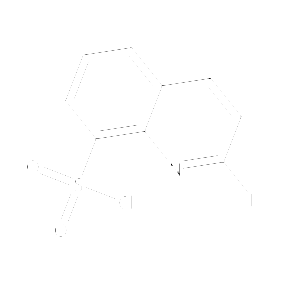 O=S(=O)(Cl)c1cccc2ccc(F)nc12